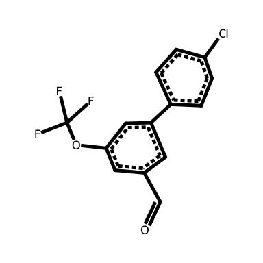 O=Cc1cc(OC(F)(F)F)cc(-c2ccc(Cl)cc2)c1